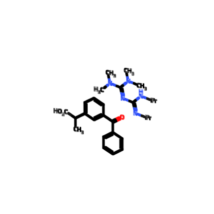 CC(C(=O)O)c1cccc(C(=O)c2ccccc2)c1.CC(C)N=C(N=C(N(C)C)N(C)C)NC(C)C